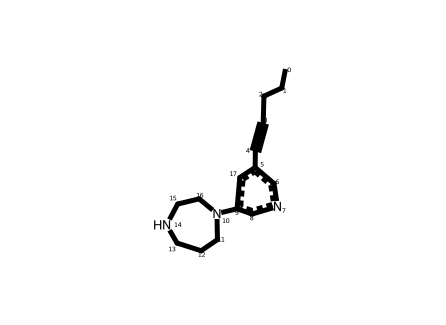 CCCC#Cc1cncc(N2CCCNCC2)c1